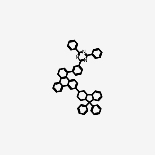 C1=CC2C3CC(c4ccc5c6c(c7ccccc7c5c4)CCC=C6c4cccc(-c5nc(-c6ccccc6)nc(-c6ccccc6)n5)c4)CCC3C(c3ccccc3)(c3ccccc3)C2C=C1